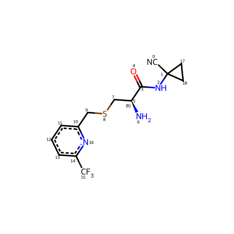 N#CC1(NC(=O)[C@@H](N)CSCc2cccc(C(F)(F)F)n2)CC1